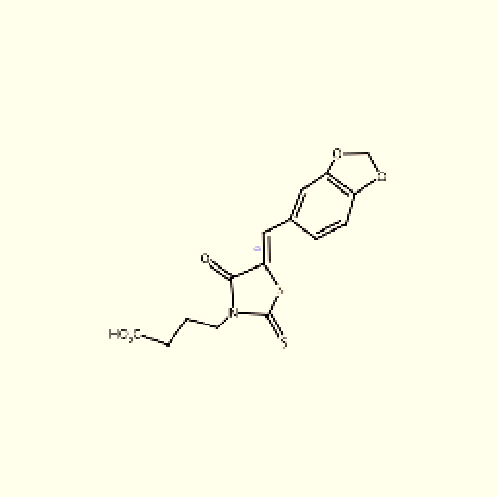 O=C(O)CCCN1C(=O)/C(=C/c2ccc3c(c2)OCO3)SC1=S